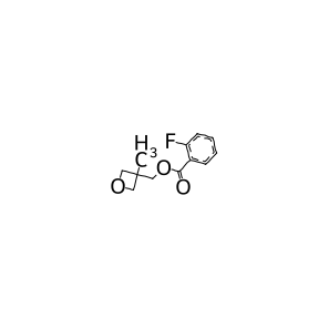 CC1(COC(=O)c2ccccc2F)COC1